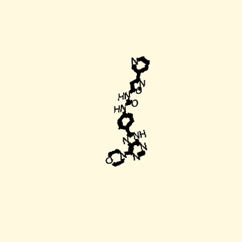 O=C(Nc1ccc(-c2nc3c(N4CCOCC4)ncnc3[nH]2)cc1)Nc1cc(-c2cccnc2)no1